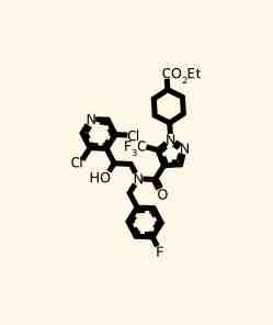 CCOC(=O)C1CCC(n2ncc(C(=O)N(Cc3ccc(F)cc3)CC(O)c3c(Cl)cncc3Cl)c2C(F)(F)F)CC1